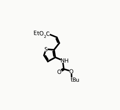 CCOC(=O)/C=C\c1sccc1NC(=O)OC(C)(C)C